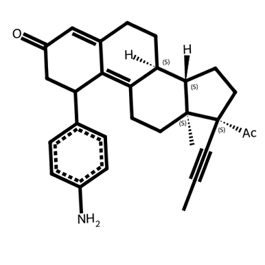 CC#C[C@]1(C(C)=O)CC[C@H]2[C@@H]3CCC4=CC(=O)CC(c5ccc(N)cc5)C4=C3CC[C@@]21C